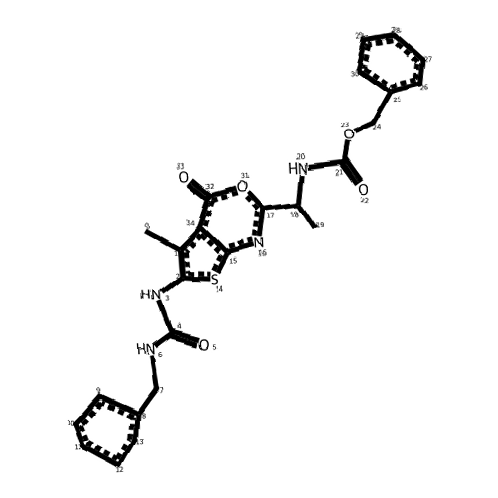 Cc1c(NC(=O)NCc2ccccc2)sc2nc(C(C)NC(=O)OCc3ccccc3)oc(=O)c12